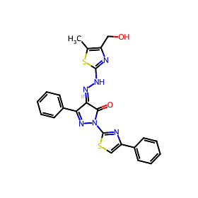 Cc1sc(N/N=C2\C(=O)N(c3nc(-c4ccccc4)cs3)N=C2c2ccccc2)nc1CO